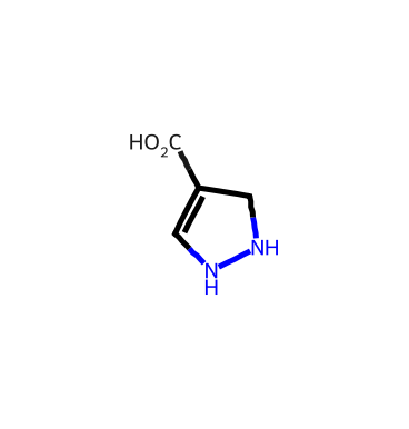 O=C(O)C1=CNNC1